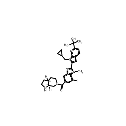 Cn1c(-c2cc3ccc(C(C)(C)O)nc3n2CC2CC2)nc2cc(C(=O)N3CC[C@H]4CCN[C@H]4C3)cc(F)c21